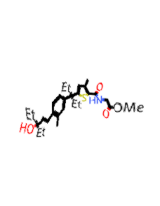 CCC(O)(CC)CCc1ccc(C(CC)(CC)c2cc(C)c(C(=O)NCC(=O)OC)s2)cc1C